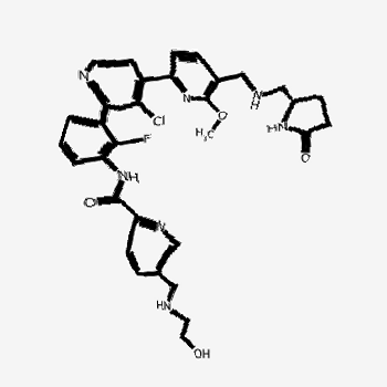 COc1nc(-c2ccnc(-c3cccc(NC(=O)c4ccc(CNCCO)cn4)c3F)c2Cl)ccc1CNC[C@H]1CCC(=O)N1